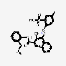 COCc1ccccc1NC(=O)c1cc2ccccc2c(/N=N/c2ccc(C)cc2S(=O)(=O)O)c1O